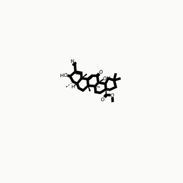 COC(=O)[C@]12CCC(C)(C)CC1[C@@]1(O)C(=O)C=C3[C@@]4(C)C=C(C#N)C(O)[C@@H](C)[C@@H]4CC[C@@]3(C)[C@]1(C)CC2